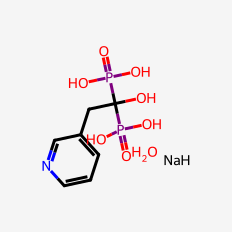 O.O=P(O)(O)C(O)(Cc1cccnc1)P(=O)(O)O.[NaH]